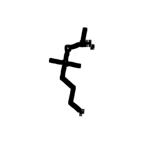 C[SiH2]O[Si](C)(C)CCCF